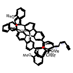 C#C/C=C\C=C/CN(c1ccc2c(c1)[PH]1(c3cc(N(c4ccccc4OC)c4ccccc4OC)ccc3-2)c2cc(N(c3ccccc3OC)c3ccccc3OC)ccc2-c2ccc(N(C3C=CC=C3)C3C=CC=C3)cc21)c1ccccc1OC